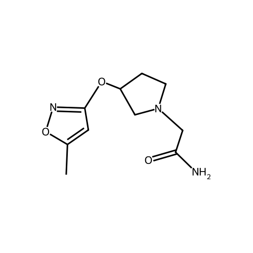 Cc1cc(OC2CCN(CC(N)=O)C2)no1